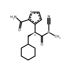 CN(C#N)C(=O)[C@@H](CC1CCCCC1)c1ccsc1C(N)=O